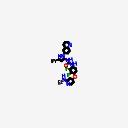 CCNc1cc(Oc2ccc(NC(=O)Nc3cc(C(C)C)nn3-c3ccc4ncccc4c3)c(F)c2F)ccn1